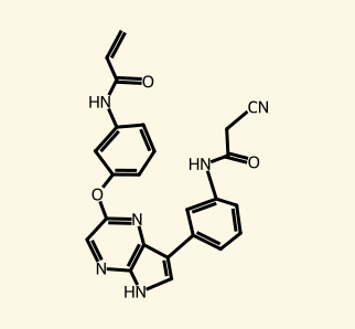 C=CC(=O)Nc1cccc(Oc2cnc3[nH]cc(-c4cccc(NC(=O)CC#N)c4)c3n2)c1